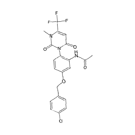 CC(=O)Nc1cc(OCc2ccc(Cl)cc2)ccc1-n1c(=O)cc(C(F)(F)F)n(C)c1=O